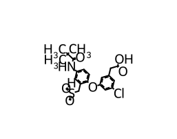 CC(C)(C)C(=O)Nc1ccc(Oc2cc(Cl)cc(CC(=O)O)c2)c(C[SH](=O)=O)c1